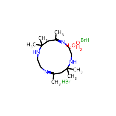 Br.Br.CC1=NCCNC(C)(C)CC(C)=NCCNC(C)(C)C1.O.O